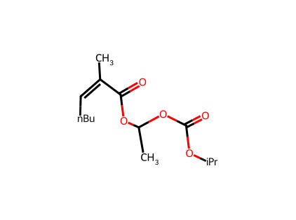 CCCCC=C(C)C(=O)OC(C)OC(=O)OC(C)C